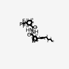 CCCCC#Cc1cncc(C(=O)NNC(=O)c2cccc(C(F)(F)F)c2)c1